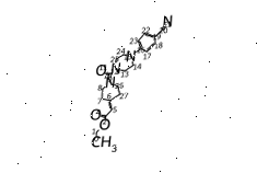 CCOC(=O)C=C1CCN(C(=O)N2CCN(c3ccc(C#N)cc3)CC2)CC1